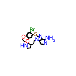 Nc1nccc2c1nc(Sc1cc3c(cc1Br)OCCO3)n2CCC1CCNC1